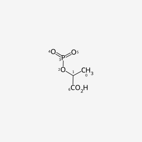 CC(OP(=O)=O)C(=O)O